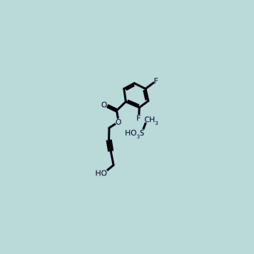 CS(=O)(=O)O.O=C(OCC#CCO)c1ccc(F)cc1F